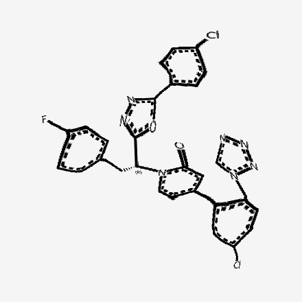 O=c1cc(-c2cc(Cl)ccc2-n2cnnn2)ccn1[C@H](Cc1ccc(F)cc1)c1nnc(-c2ccc(Cl)cc2)o1